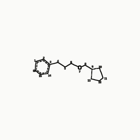 [c]1ccc(CCCOCC2CCCC2)cc1